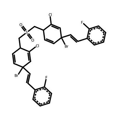 O=S(=O)(CC1C=CC(Br)(/C=C/c2ccccc2F)C=C1Cl)CC1C=CC(Br)(/C=C/c2ccccc2F)C=C1Cl